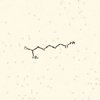 [CH2]CCOCCCOCC(CC)CCCC